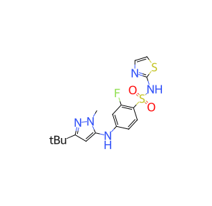 Cn1nc(C(C)(C)C)cc1Nc1ccc(S(=O)(=O)Nc2nccs2)c(F)c1